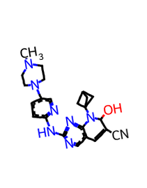 CN1CCN(c2ccc(Nc3ncc4c(n3)N(C35CC(C3)C5)C(O)C(C#N)=C4)nc2)CC1